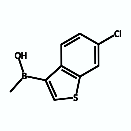 CB(O)c1csc2cc(Cl)ccc12